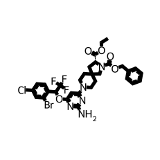 CCOC(=O)[C@H]1CC2(CCN(c3cc(OC(c4ccc(Cl)cc4Br)C(F)(F)F)nc(N)n3)CC2)CN1C(=O)OCc1ccccc1